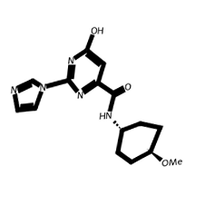 CO[C@H]1CC[C@H](NC(=O)c2cc(O)nc(-n3ccnc3)n2)CC1